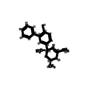 C[C@@H]1C[C@@](C)(c2ccc(F)c(-c3cncnc3)c2)N=C(N)S1